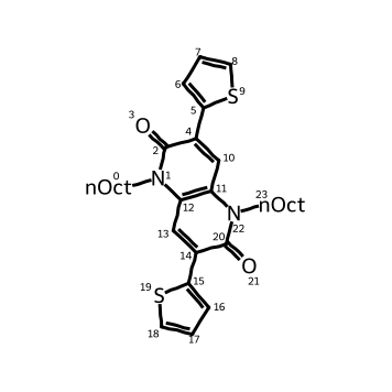 CCCCCCCCn1c(=O)c(-c2cccs2)cc2c1cc(-c1cccs1)c(=O)n2CCCCCCCC